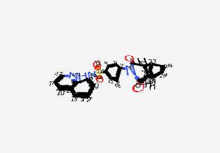 O=C1[C@@H]2[C@H](C(=O)N1c1ccc(S(=O)(=O)Nc3cccc4cccnc34)cc1)C1C=C[C@H]2C1